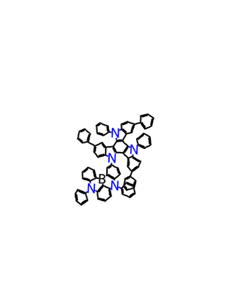 c1ccc(-c2ccc3c(c2)c2c(c4c5cc(-c6ccccc6)ccc5n(-c5ccc6c(c5)B5c7ccccc7N(c7ccccc7)c7cccc(c75)N6c5ccccc5)c4c4c5cc(-c6ccccc6)ccc5n(-c5ccccc5)c24)n3-c2ccccc2)cc1